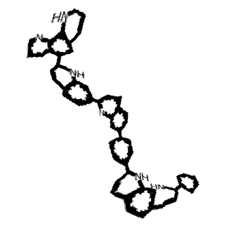 C1=Cc2cc(C3C=Cc4ccc(-c5ccc6ccc(-c7ccc(C8C=Cc9ccc%10c(c9N8)NC(c8ccccc8)C=C%10)cc7)cc6n5)cc4N3)c3cccnc3c2NC1